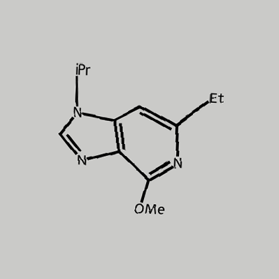 CCc1cc2c(ncn2C(C)C)c(OC)n1